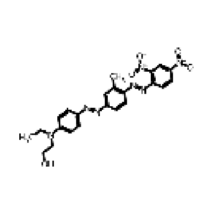 CCN(CCO)c1ccc(N=Nc2ccc(N=Nc3ccc([N+](=O)[O-])cc3[N+](=O)[O-])c(C)c2)cc1